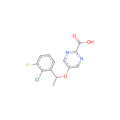 CC(Oc1cnc(C(=O)O)nc1)c1cccc(F)c1Cl